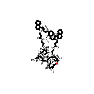 COC1=C(/C=C/C2=[N+](CCC(=O)NCCCO[C@H]3[C@@H]4OC[C@@H](OCCC[C@H]5O[C@H](CO)C(O4)[C@H](O)[C@H]5O)[C@@H]3O)c3ccc4ccccc4c3C2(C)C)CCC/C1=C\C=C1\N(CCC(=O)NCCCO[C@@H]2[C@@H](O)[C@@H]3OC4O[C@H](CO)[C@@H](OCCC[C@H]2O[C@@H]3CO)[C@H](O)[C@H]4O)c2ccc3ccccc3c2C1(C)C